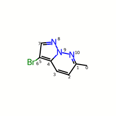 Cc1ccc2c(Br)cnn2n1